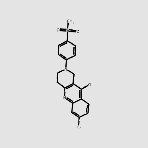 CS(=O)(=O)c1ccc(N2CCc3nc4cc(Cl)ccc4c(Cl)c3C2)cc1